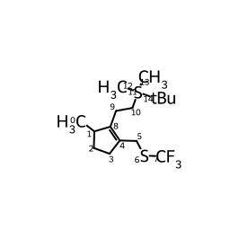 CC1CCC(CSC(F)(F)F)=C1CCS(C)(C)C(C)(C)C